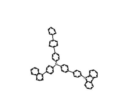 c1ccc(-c2ccc(-c3ccc(N(c4ccc(-c5ccc(-n6c7ccccc7c7ccccc76)cc5)cc4)c4ccc(-c5cccc6ccccc56)cc4)cc3)cc2)cc1